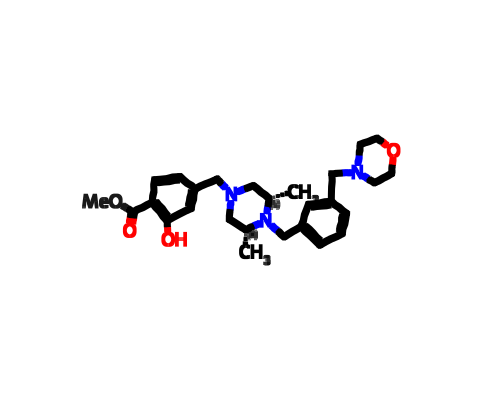 COC(=O)c1ccc(CN2C[C@@H](C)N(Cc3cccc(CN4CCOCC4)c3)[C@@H](C)C2)cc1O